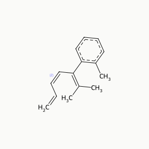 C=C/C=C\C(=C(C)C)c1ccccc1C